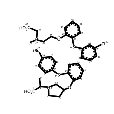 CC(C(=O)O)N1CCC(Oc2ccccc2Sc2ccc(C(C)(C)C)cc2)C1.CN(CCOc1ccccc1Sc1cccc(Cl)c1)CC(=O)O